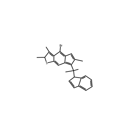 CC1=Cc2c(Br)c3c(cc2=C1C(C)(C)C1C=Cc2ccccc21)SC(C)C=3C